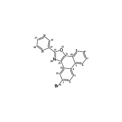 Brc1ccc2c3ccccc3c3oc(-c4ccccc4)nc3c2c1